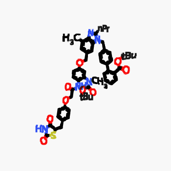 CCCc1nc2c(C)cc(COc3ccc(NC(=O)COc4ccc(CC5SC(=O)NC5=O)cc4)c(N(C)C(=O)OC(C)(C)C)c3)cc2n1Cc1ccc(-c2ccccc2C(=O)OC(C)(C)C)cc1